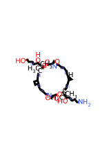 CC(C)([C@@H]1C/C=C\C2=C[C@@H]2/C=C/C=C\c2nc(co2)C(=O)O[C@H](C(C)(C)[C@@H](O)/C=C/CCO)C/C=C\C2CC/C2=C\C=C/c2nc(co2)C(=O)O1)[C@@H](O)/C=C/CCN